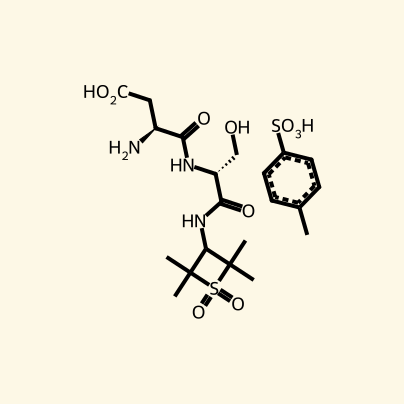 CC1(C)C(NC(=O)[C@@H](CO)NC(=O)[C@@H](N)CC(=O)O)C(C)(C)S1(=O)=O.Cc1ccc(S(=O)(=O)O)cc1